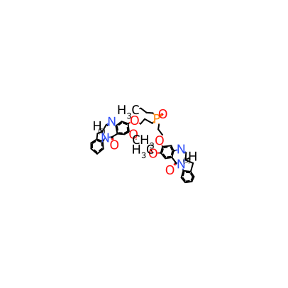 CCCCP(=O)(CCCOc1cc2c(cc1OC)C(=O)N1c3ccccc3C[C@H]1C=N2)CCCOc1cc2c(cc1OC)C(=O)N1c3ccccc3C[C@H]1C=N2